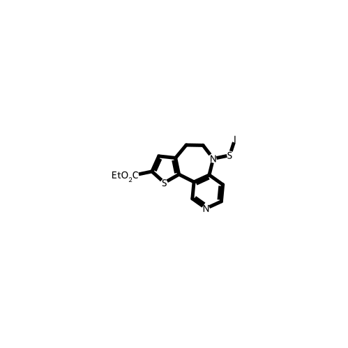 CCOC(=O)c1cc2c(s1)-c1cnccc1N(SI)CC2